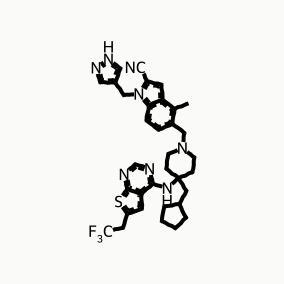 Cc1c(CN2CCC(CC3CCCC3)(Nc3ncnc4sc(CC(F)(F)F)cc34)CC2)ccc2c1cc(C#N)n2Cc1cn[nH]c1